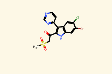 CS(=O)(=O)CC(=O)c1[nH]c2cc(Br)c(Cl)cc2c1-c1ccncn1